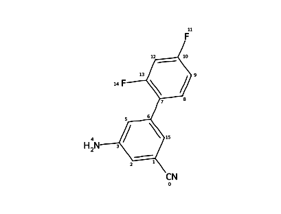 N#Cc1cc(N)cc(-c2ccc(F)cc2F)c1